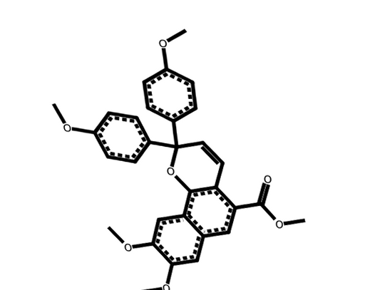 COC(=O)c1cc2cc(OC)c(OC)cc2c2c1C=CC(c1ccc(OC)cc1)(c1ccc(OC)cc1)O2